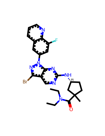 CCN(CC)C(=O)C1(C)CC[C@@H](Nc2ncc3c(Br)nn(-c4cc(F)c5ncccc5c4)c3n2)C1